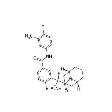 CC(=O)NC1C[C@H]2CCC[C@@H](C1)N2C(=O)C(F)(F)c1cc(C(=O)Nc2ccc(F)c(C)c2)ccc1F